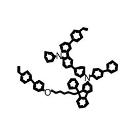 C=Cc1ccc(-c2ccc(OCCCCCCC3(c4ccccc4)c4ccccc4-c4ccc(N(c5ccc(-c6ccccc6)cc5)c5ccc(-c6ccc7c(c6)c6cc(-c8ccc(C=C)cc8)ccc6n7-c6ccccc6)cc5)cc43)cc2)cc1